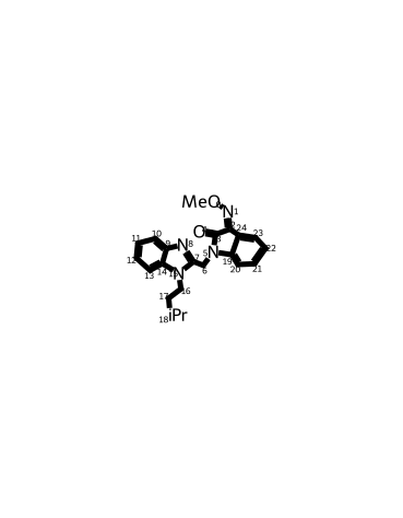 CON=C1C(=O)N(Cc2nc3ccccc3n2CCC(C)C)c2ccccc21